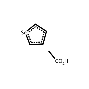 CC(=O)O.c1cc[se]c1